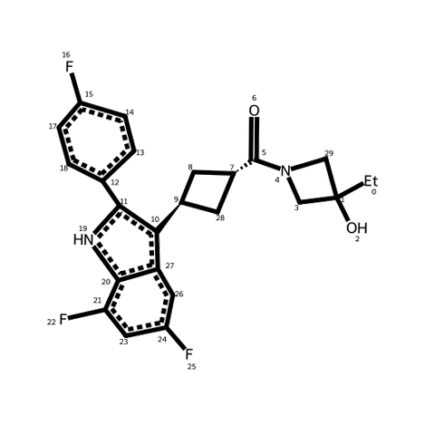 CCC1(O)CN(C(=O)[C@H]2C[C@H](c3c(-c4ccc(F)cc4)[nH]c4c(F)cc(F)cc43)C2)C1